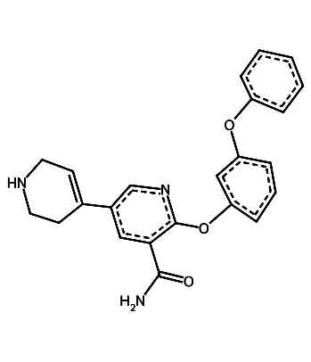 NC(=O)c1cc(C2=CCNCC2)cnc1Oc1cccc(Oc2ccccc2)c1